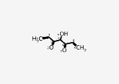 C=CC(=O)C(O)C(=O)C=C